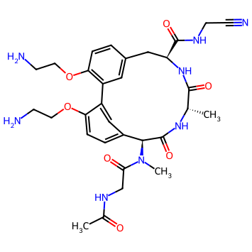 CC(=O)NCC(=O)N(C)[C@@H]1C(=O)N[C@@H](C)C(=O)N[C@H](C(=O)NCC#N)Cc2ccc(OCCN)c(c2)-c2cc1ccc2OCCN